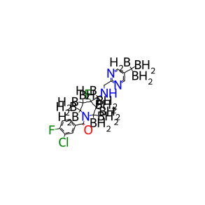 BC(B)(B)c1cnc(CNC(B)(B)C2(F)C(B)(B)C(B)(B)N(C(=O)c3ccc(F)c(Cl)c3)C(B)(B)C2(B)B)nc1